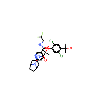 CC(C)(Oc1cc(Cl)c(C(C)(C)O)cc1Cl)C(=O)NC1CC2CCC(C1)N2c1ccc(C(=O)NCC(F)F)cn1